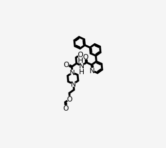 O=COCCN1CCN(C(=O)C(CO)NC(=O)c2ncccc2-c2cccc(-c3ccccc3)c2)CC1